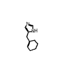 C1=C(Cc2cnc[nH]2)CCCC1